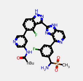 CCCCC(=O)Nc1cncc(-c2ccc3[nH]nc(-c4nc5c(-c6cc(F)cc(C(N)S(C)(=O)=O)c6)nccc5[nH]4)c3c2F)c1